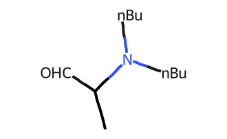 CCCCN(CCCC)C(C)C=O